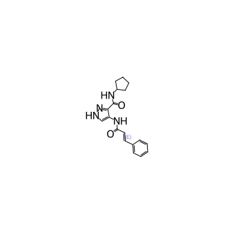 O=C(/C=C/c1ccccc1)Nc1c[nH]nc1C(=O)NC1CCCC1